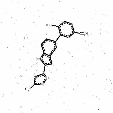 Cc1noc(-c2cc3cc(-c4cc(C(=O)O)ncc4C)ccc3[nH]2)n1